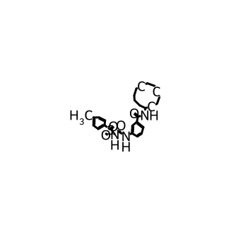 Cc1ccc(S(=O)(=O)NC(=O)Nc2cccc(C(=O)NC3CCCCCCCCCCC3)c2)cc1